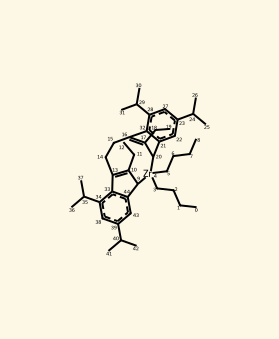 CCC[CH2][Zr]1([CH2]CCC)[CH]2C(CC)=C(CCC3=C(CC)[CH]1c1cc(C(C)C)cc(C(C)C)c13)c1c(C(C)C)cc(C(C)C)cc12